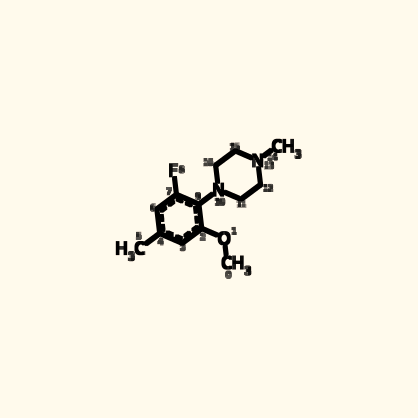 COc1cc(C)cc(F)c1N1CCN(C)CC1